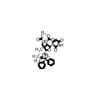 CC(=O)OC[C@]1(C)[C@@H](CO[Si](c2ccccc2)(c2ccccc2)C(C)(C)C)O[C@@H](n2ccc(=O)[nH]c2=O)[C@@H]1OC(C)=O